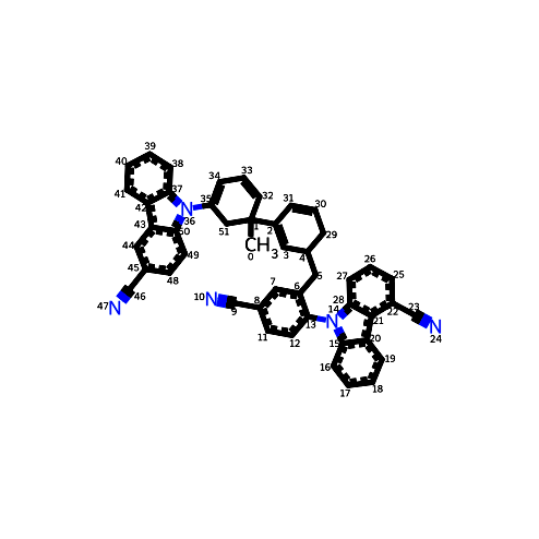 CC1(C2=CC(Cc3cc(C#N)ccc3-n3c4ccccc4c4c(C#N)cccc43)CC=C2)C=CC=C(n2c3ccccc3c3cc(C#N)ccc32)C1